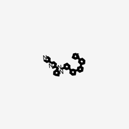 c1ccc(-c2cccc(-c3cccc(-c4cccc(-c5cccc(-c6nc(-c7ccc(-c8ccncc8)nc7)c7ccccc7n6)c5)c4)c3)c2)cc1